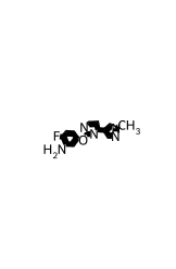 Cn1cc(-c2ccnc(Oc3ccc(F)c(N)c3)n2)cn1